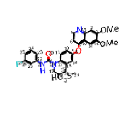 COc1cc2nccc(Oc3ccc4c(c3)CCCN4C(=O)Nc3cccc(F)c3)c2cc1OC.CS(=O)(=O)O